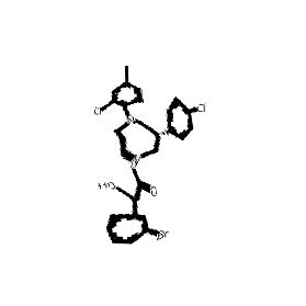 Cc1ccc(N2CCN(C(=O)C(O)c3cccc(Br)c3)C[C@H]2c2ccc(Cl)cc2)c(Cl)c1